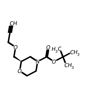 C#CCOC[C@H]1CN(C(=O)OC(C)(C)C)CCO1